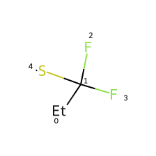 CCC(F)(F)[S]